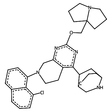 Clc1cccc2cccc(N3CCc4c(nc(OCC56CCCN5CCC6)nc4C4CC5CCCC4CN5)C3)c12